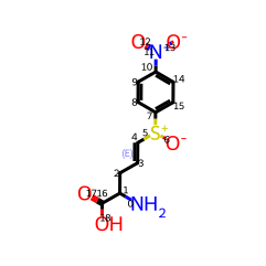 NC(C/C=C/[S+]([O-])c1ccc([N+](=O)[O-])cc1)C(=O)O